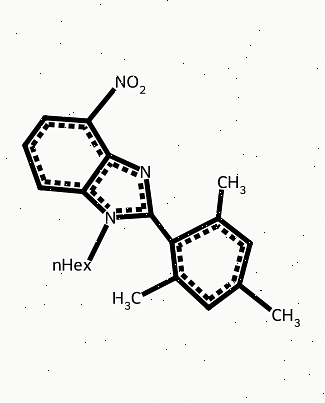 CCCCCCn1c(-c2c(C)cc(C)cc2C)nc2c([N+](=O)[O-])cccc21